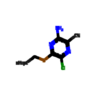 CCCCCCCCSc1nc(N)c(C#N)nc1Cl